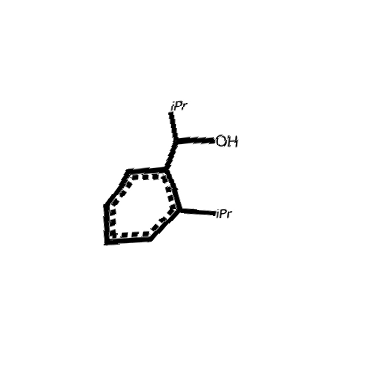 CC(C)c1ccccc1C(O)C(C)C